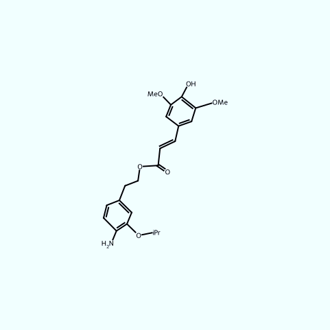 COc1cc(/C=C/C(=O)OCCc2ccc(N)c(OC(C)C)c2)cc(OC)c1O